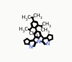 CC(C)c1cc(C(C)C)c(-c2cc3c4c5c(ncc4n4c6cnc7c(c6c(c2)c34)CCC7)CCC5)c(C(C)C)c1